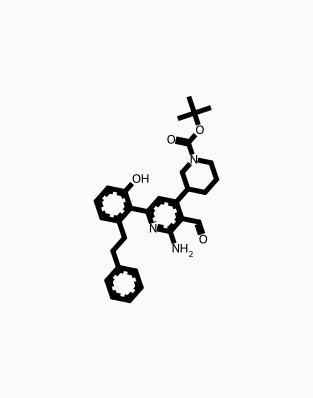 CC(C)(C)OC(=O)N1CCCC(c2cc(-c3c(O)cccc3CCc3ccccc3)nc(N)c2C=O)C1